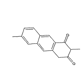 Cc1ccc2cc3c(cc2c1)CC(=O)C(C)C3=O